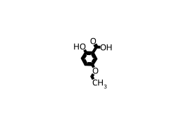 CCOc1ccc(O)c(C(=O)O)c1